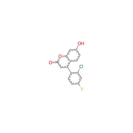 O=c1cc(-c2ccc(F)cc2Cl)c2ccc(O)cc2o1